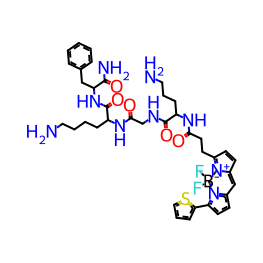 NCCCCC(NC(=O)CNC(=O)C(CCCN)NC(=O)CCC1=[N+]2C(=Cc3ccc(-c4cccs4)n3[B-]2(F)F)C=C1)C(=O)NC(Cc1ccccc1)C(N)=O